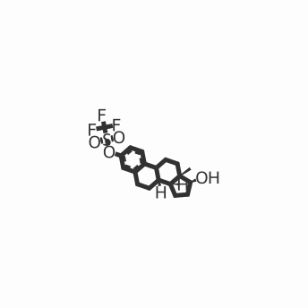 C[C@]12CCC3c4ccc(OS(=O)(=O)C(F)(F)F)cc4CC[C@H]3[C@@H]1CC[C@@H]2O